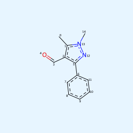 Cc1c(C=O)c(-c2ccccc2)nn1C